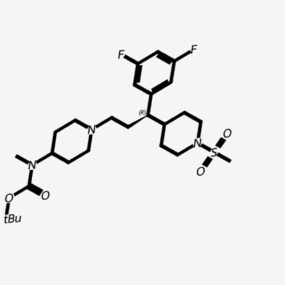 CN(C(=O)OC(C)(C)C)C1CCN(CC[C@@H](c2cc(F)cc(F)c2)C2CCN(S(C)(=O)=O)CC2)CC1